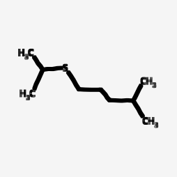 CC(C)CCCSC(C)C